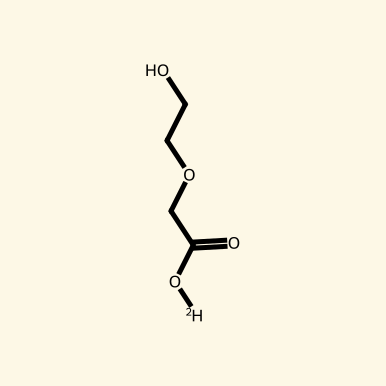 [2H]OC(=O)COCCO